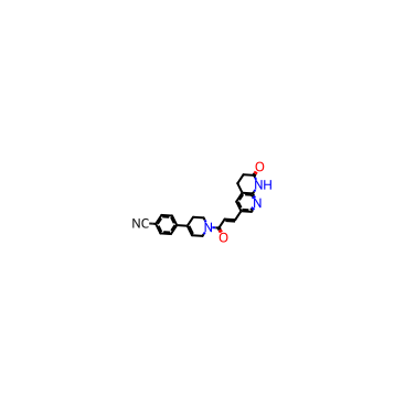 N#Cc1ccc(C2=CCN(C(=O)C=Cc3cnc4c(c3)CCC(=O)N4)CC2)cc1